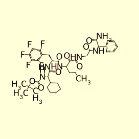 CCCC(NC(=O)[C@H](Cc1c(F)c(F)c(F)c(F)c1F)NC(=O)[C@@H](NC(=O)OC(C)(C)C)C1CCCCC1)C(=O)C(=O)NCC(=O)NC(C(N)=O)c1ccccc1